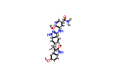 COc1ccc2c(c1)[C@]1(C[C@H]1c1ccc3c(Nc4cc(C(=O)N(C)C)cnc4OC)n[nH]c3c1)C(=O)N2